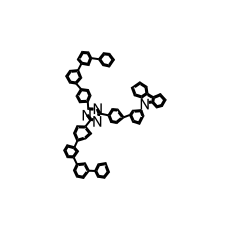 c1ccc(-c2cccc(-c3cccc(-c4ccc(-c5nc(-c6ccc(-c7cccc(-c8cccc(-c9ccccc9)c8)c7)cc6)nc(-c6ccc(-c7cccc(-n8c9ccccc9c9ccccc98)c7)cc6)n5)cc4)c3)c2)cc1